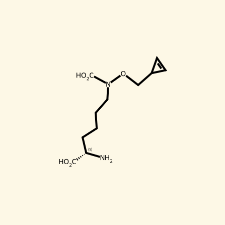 N[C@@H](CCCCN(OCC1C=C1)C(=O)O)C(=O)O